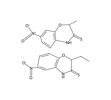 CC1Oc2cc([N+](=O)[O-])ccc2NC1=S.CCC1Oc2ccc([N+](=O)[O-])cc2NC1=S